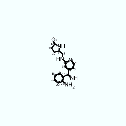 N=C(c1ccnc(NCC2CCC(=O)N2)c1)c1ccccc1N